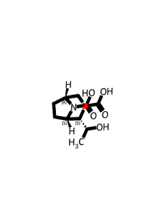 CC(O)[C@@H]1[C@@H]2CC[C@H](CN1C(=O)O)N2C(=O)O